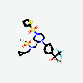 C[C@@](O)(c1ccc(N2CCN(S(=O)(=O)c3cccs3)C[C@@H]2CN(CC2CC2)S(C)(=O)=O)cc1)C(F)(F)F